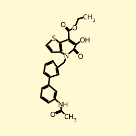 CCOC(=O)c1c(O)c(=O)n(Cc2cccc(-c3cccc(NC(C)=O)c3)c2)c2ccsc12